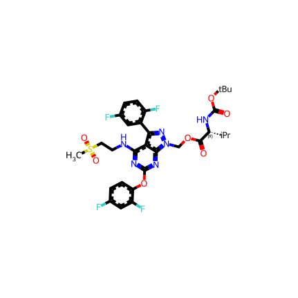 CC(C)[C@@H](NC(=O)OC(C)(C)C)C(=O)OCn1nc(-c2cc(F)ccc2F)c2c(NCCS(C)(=O)=O)nc(Oc3ccc(F)cc3F)nc21